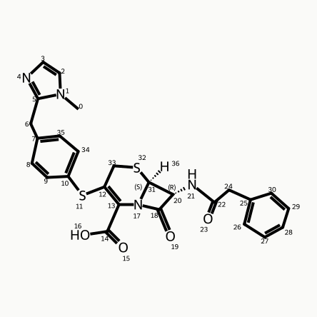 Cn1ccnc1Cc1ccc(SC2=C(C(=O)O)N3C(=O)[C@@H](NC(=O)Cc4ccccc4)[C@@H]3SC2)cc1